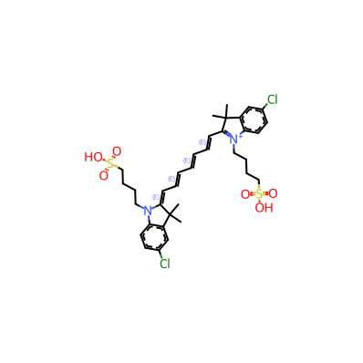 CC1(C)C(/C=C/C=C/C=C/C=C2/N(CCCCS(=O)(=O)O)c3ccc(Cl)cc3C2(C)C)=[N+](CCCCS(=O)(=O)O)c2ccc(Cl)cc21